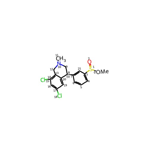 COS(=O)c1cccc([C@@H]2CN(C)Cc3c(Cl)cc(Cl)cc32)c1